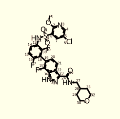 COc1ncc(Cl)cc1S(=O)(=O)Nc1ccc(F)c(-c2ccc3c(C(=O)NCC4CCOCC4)n[nH]c3c2F)c1F